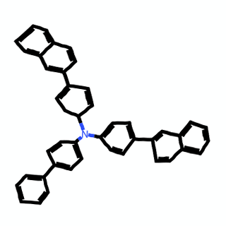 C1=CC(N(c2ccc(-c3ccccc3)cc2)c2ccc(-c3ccc4ccccc4c3)cc2)CC=C1c1ccc2ccccc2c1